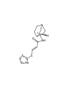 O=C(C=CSc1nccs1)N[C@H]1CN2CCC1CC2